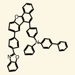 c1ccc(-c2ccc(N(c3ccccc3)c3ccc(-c4cc5ccccc5c5oc6ccc(-c7ccc(-c8nc9ccccc9o8)cc7)cc6c45)cc3)cc2)cc1